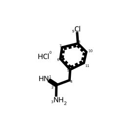 Cl.N=C(N)Cc1ccc(Cl)cc1